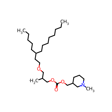 [CH2]C(COCCC(CCCCC)CCCCCCCC)COC(=O)OCC1CCCN(C)C1